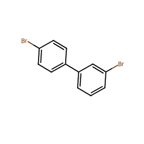 Brc1ccc(-c2cccc(Br)c2)cc1